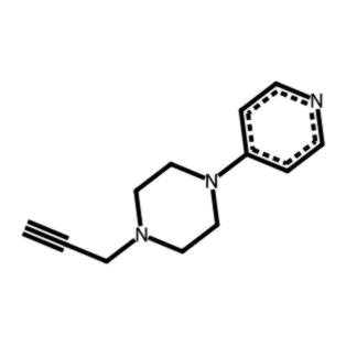 C#CCN1CCN(c2ccncc2)CC1